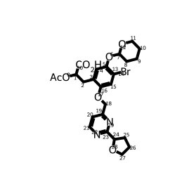 CC(=O)OC(Cc1cc(OC2CCCCO2)c(Br)cc1OCc1ccnc(C2CCCO2)n1)C(=O)O